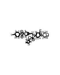 Cc1ccc(S(=O)(=O)N2CC3C(CN(C(=O)Oc4cccs4)c4ccc(N5CCOCC5)c(F)c4)C3C2)cc1